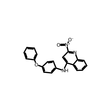 O=[N+]([O-])c1cc(Nc2ccc(Oc3ccccc3)cc2)c2ccccc2n1